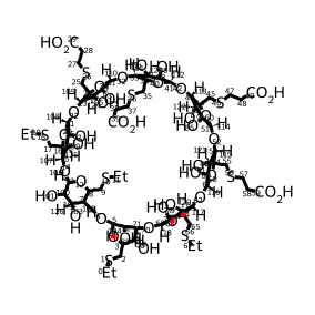 CCSCC1O[C@H]2O[C@@H]3C(CSCC)O[C@H](O[C@@H]4C(CSCC)O[C@H](O[C@@H]5C(CSCCC(=O)O)O[C@H](O[C@@H]6C(CSCCC(=O)O)O[C@H](O[C@@H]7C(CSCCC(=O)O)O[C@@H](O[C@@H]8C(CSCCC(=O)O)O[C@H](O[C@@H]9C(CSCC)O[C@H](O[C@H](C2O)[C@@H]1O)C(O)[C@H]9O)C(O)[C@H]8O)C(O)[C@H]7O)C(O)[C@H]6O)C(O)[C@H]5O)C(O)[C@H]4O)C(O)[C@H]3O